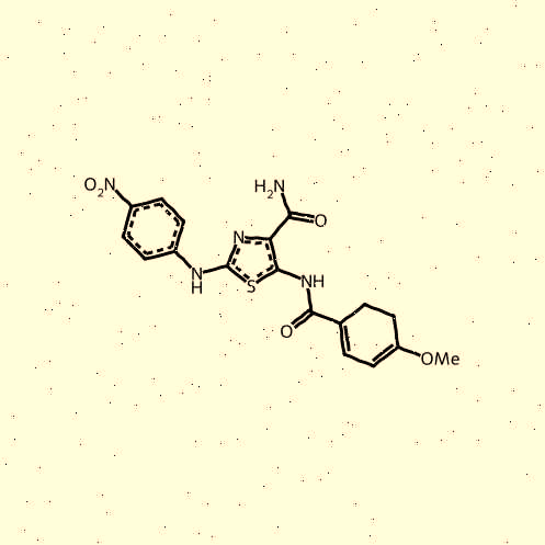 COC1=CC=C(C(=O)Nc2sc(Nc3ccc([N+](=O)[O-])cc3)nc2C(N)=O)CC1